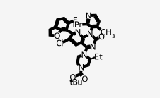 CC[C@H]1CN(C(=O)OC(C)(C)C)CCN1c1nc(=O)n(-c2c(C)ccnc2C(C)C)c2nc(-c3c(F)ccc4ccoc34)c(Cl)cc12